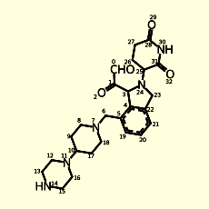 O=CC(=O)C1c2c(CN3CCC(N4CCNCC4)CC3)cccc2CN1C1CCC(=O)NC1=O